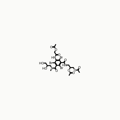 CC(=O)OCC(=O)Nc1c(Br)c(C(=O)NCC(COC(C)=O)OC(C)=O)c(Br)c(C(=O)N(C)CC(O)CO)c1Br